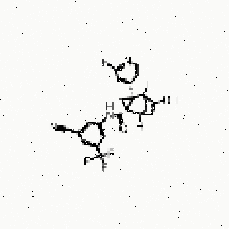 N#Cc1cc(NC(=O)[C@]23C[C@@]2(c2ccnc(F)c2)[C@H]2O[C@@H]3C[C@@H]2O)cc(C(F)(F)F)c1